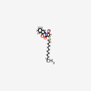 CCCCCCCCCCCCSC1CC(=O)N(C2Cc3ccccc3C2=O)C1=O